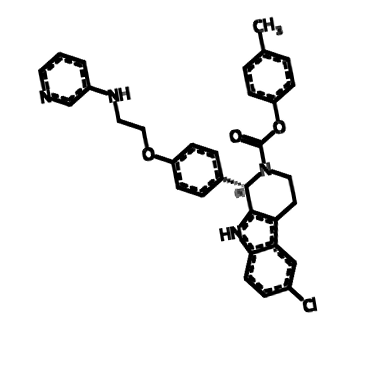 Cc1ccc(OC(=O)N2CCc3c([nH]c4ccc(Cl)cc34)[C@@H]2c2ccc(OCCNc3cccnc3)cc2)cc1